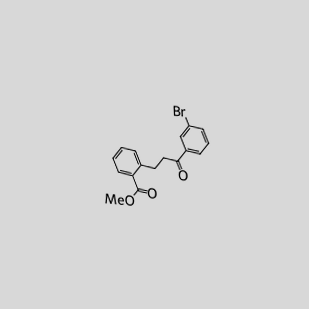 COC(=O)c1ccccc1CCC(=O)c1cccc(Br)c1